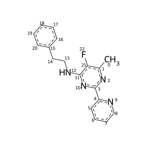 Cc1nc(-c2ccccn2)nc(NCCc2ccccc2)c1F